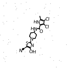 Cc1[nH]c(C(=O)NC2CCN(c3nc(O)c(C#N)s3)CC2)c(Cl)c1Cl